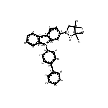 CC1(C)CB(c2ccc3c4ccccc4n(-c4ccc(-c5ccccc5)cc4)c3c2)OC1(C)C